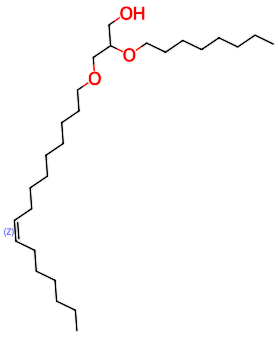 CCCCCC/C=C\CCCCCCCCOCC(CO)OCCCCCCCC